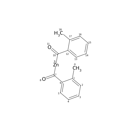 Cc1ccccc1[C](=O)[Zn][C](=O)c1ccccc1C